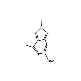 CNc1nc(C)c2cn(C)nc2n1